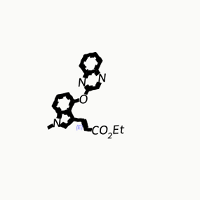 CCOC(=O)/C=C/c1cn(C)c2cccc(Oc3cnc4ccccc4n3)c12